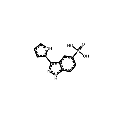 O=P(O)(O)c1ccc2[nH]nc(-c3ccc[nH]3)c2c1